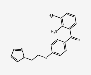 Nc1cccc(C(=O)c2ccc(OCCn3cccn3)cc2)c1N